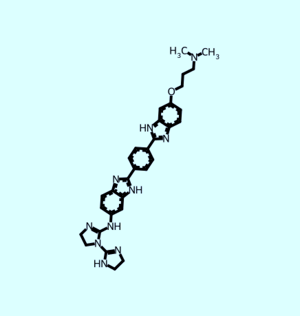 CN(C)CCCOc1ccc2nc(-c3ccc(-c4nc5ccc(NC6=NCCN6C6=NCCN6)cc5[nH]4)cc3)[nH]c2c1